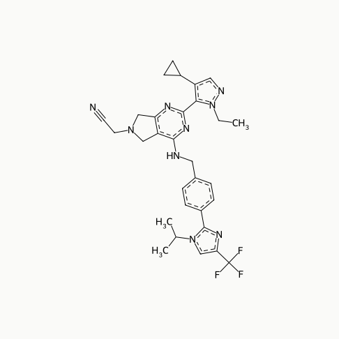 CCn1ncc(C2CC2)c1-c1nc2c(c(NCc3ccc(-c4nc(C(F)(F)F)cn4C(C)C)cc3)n1)CN(CC#N)C2